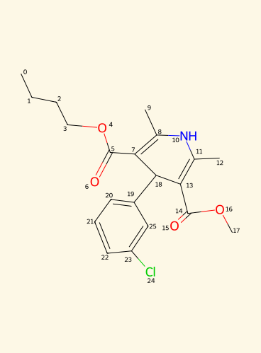 CCCCOC(=O)C1=C(C)NC(C)=C(C(=O)OC)C1c1cccc(Cl)c1